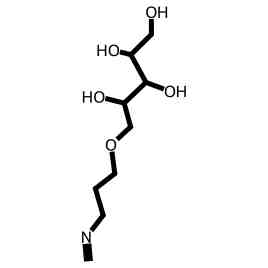 C=NCCCOCC(O)C(O)C(O)CO